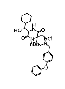 CCCCN1C(=O)C(C(O)C2CCCCC2)NC(=O)C12CCN(Cc1ccc(Oc3ccccc3)cc1)CC2.Cl